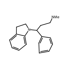 CNCCC(c1ccccc1)N1CCc2ccccc21